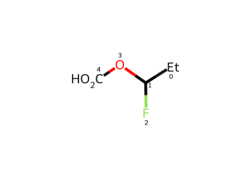 CCC(F)OC(=O)O